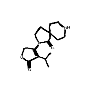 CC(C)C1=C(N2CCC3(CCNCC3)C2=O)COC1=O